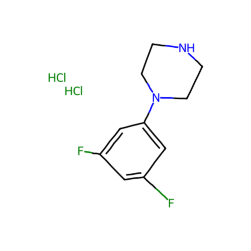 Cl.Cl.Fc1cc(F)cc(N2CCNCC2)c1